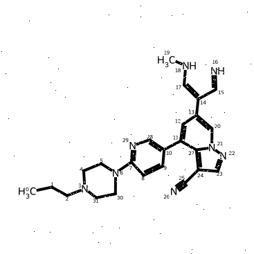 CCCN1CCN(c2ccc(-c3cc(/C(C=N)=C/NC)cn4ncc(C#N)c34)cn2)CC1